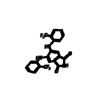 O=C1NC(=O)c2cc(Nc3ccccc3C(F)(F)F)c(Nc3ccccc3C(F)(F)F)cc21